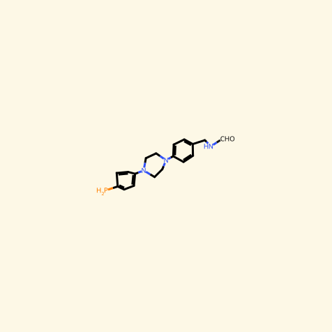 O=CNCc1ccc(N2CCN(c3ccc(P)cc3)CC2)cc1